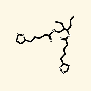 CCCC(OC(=O)CCCCC1CCSS1)C(CC)COC(=O)CCCCC1CCSS1